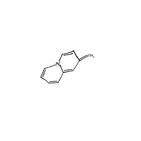 C=C1C=CN2C=CC=CC2=C1